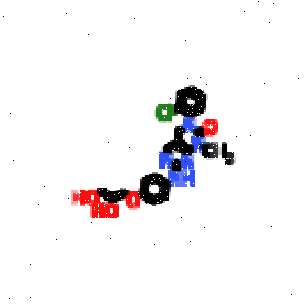 CN1C(=O)N(c2ccccc2Cl)Cc2cnc(N[C@H]3CC[C@H](OCC(O)CO)CC3)nc21